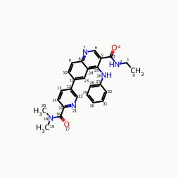 CCNC(=O)c1cnc2ccc(-c3ccc(C(=O)N(C)C)nc3)cc2c1Nc1ccccc1